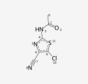 CC(=O)Nc1nc(C#N)c(Cl)s1